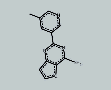 Cc1cncc(-c2nc(N)c3occc3n2)c1